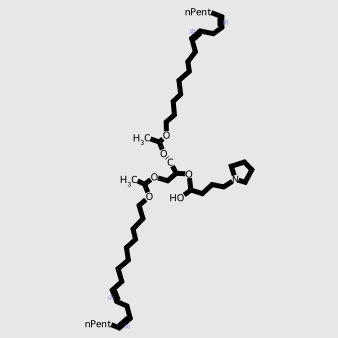 CCCCC/C=C\C/C=C\CCCCCCCCOC(C)OCC(COC(C)OCCCCCCCC/C=C\C/C=C\CCCCC)OC(O)CCCN1CCCC1